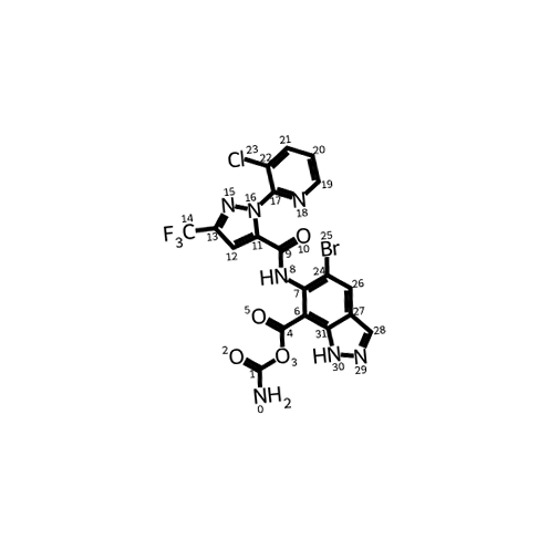 NC(=O)OC(=O)c1c(NC(=O)c2cc(C(F)(F)F)nn2-c2ncccc2Cl)c(Br)cc2cn[nH]c12